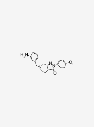 COc1ccc(N2N=C3CN(Cc4cccc(N)c4)CCC3C2=O)cc1